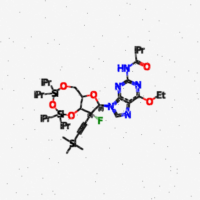 CCOc1nc(NC(=O)C(C)C)nc2c1ncn2[C@@H]1OC2CO[Si](C(C)C)(C(C)C)O[Si](C(C)C)(C(C)C)OC2[C@]1(F)C#C[Si](C)(C)C